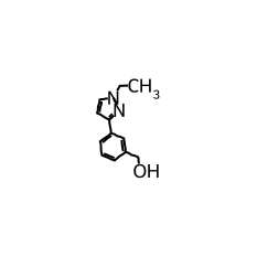 CCn1ccc(-c2cccc(CO)c2)n1